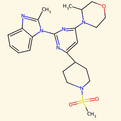 Cc1nc2ccccc2n1-c1nc(C2CCN(S(C)(=O)=O)CC2)cc(N2CCOCC2C)n1